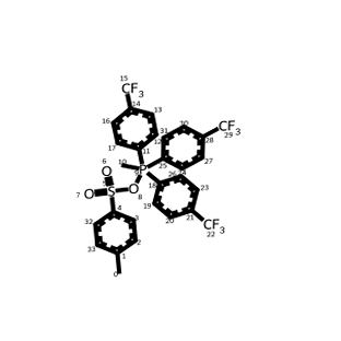 Cc1ccc(S(=O)(=O)OP(C)(c2ccc(C(F)(F)F)cc2)(c2ccc(C(F)(F)F)cc2)c2ccc(C(F)(F)F)cc2)cc1